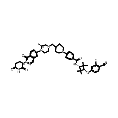 C[C@H]1CN(CC2CCN(c3ccc(C(=O)N[C@H]4C(C)(C)[C@H](Oc5ccc(C#N)c(Cl)c5)C4(C)C)cc3)CC2)CCN1c1ccc2c(=O)n([C@@H]3CCC(=O)NC3=O)ncc2c1